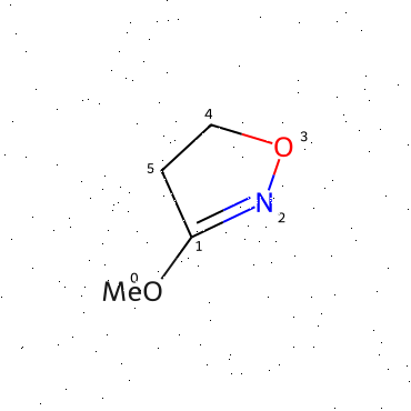 COC1=NOCC1